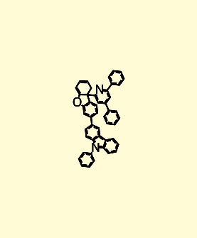 C1=CCC2(c3cc(-c4ccccc4)cc(-c4ccccc4)n3)C(=C1)Oc1cc(-c3ccc4c(c3)c3ccccc3n4-c3ccccc3)ccc12